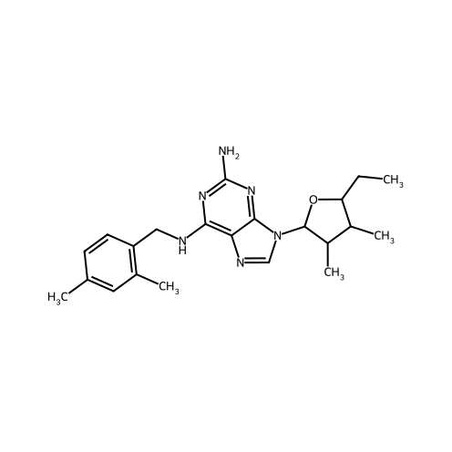 CCC1OC(n2cnc3c(NCc4ccc(C)cc4C)nc(N)nc32)C(C)C1C